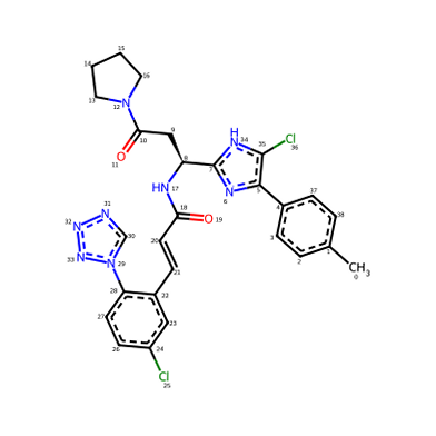 Cc1ccc(-c2nc([C@H](CC(=O)N3CCCC3)NC(=O)/C=C/c3cc(Cl)ccc3-n3cnnn3)[nH]c2Cl)cc1